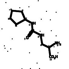 NC(CNC(=O)NC1CCCC1)C(=O)O